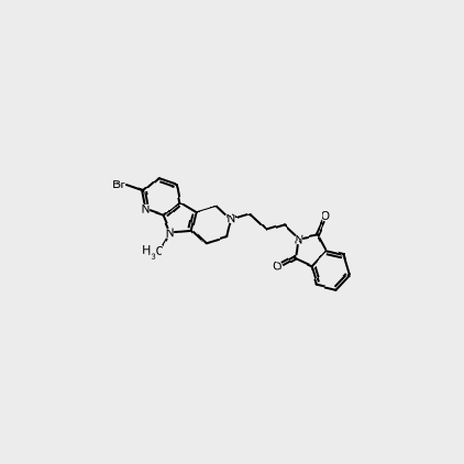 Cn1c2c(c3ccc(Br)nc31)CN(CCCN1C(=O)c3ccccc3C1=O)CC2